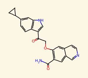 NC(=O)c1cc2cnccc2cc1OCC(=O)c1c[nH]c2cc(C3CC3)ccc12